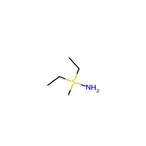 CCS(C)(N)CC